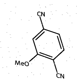 COc1cc(C#N)ccc1C#N